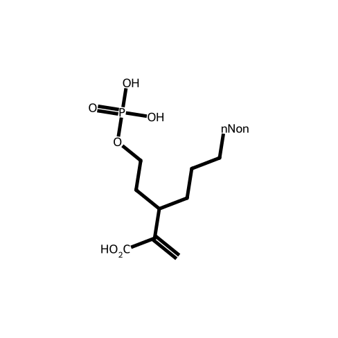 C=C(C(=O)O)C(CCCCCCCCCCCC)CCOP(=O)(O)O